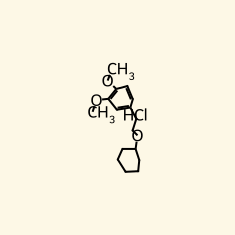 COc1ccc(CCOC2CCCCC2)cc1OC.Cl